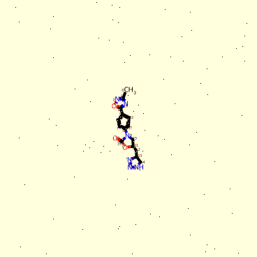 Cc1noc(-c2ccc(N3CC(CC4CNN=N4)OC3=O)cc2)n1